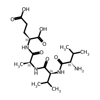 CC(C)[C@H](N)C(=O)N[C@H](C(=O)N[C@@H](C)C(=O)N[C@@H](CCC(=O)O)C(=O)O)C(C)C